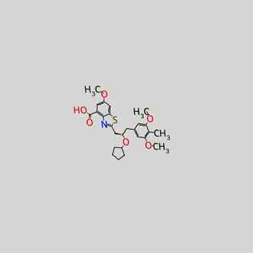 COc1cc(C(=O)O)c2nc(C[C@@H](Cc3cc(OC)c(C)c(OC)c3)OC3CCCC3)sc2c1